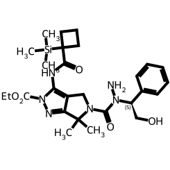 CCOC(=O)n1nc2c(c1NC(=O)C1([Si](C)(C)C)CCC1)CN(C(=O)N(N)[C@H](CO)c1ccccc1)C2(C)C